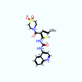 CC(C)(C)c1cc(C(=O)N2CCS(=O)(=O)CC2)c(NC(=O)Nc2ccnc3ccccc23)s1